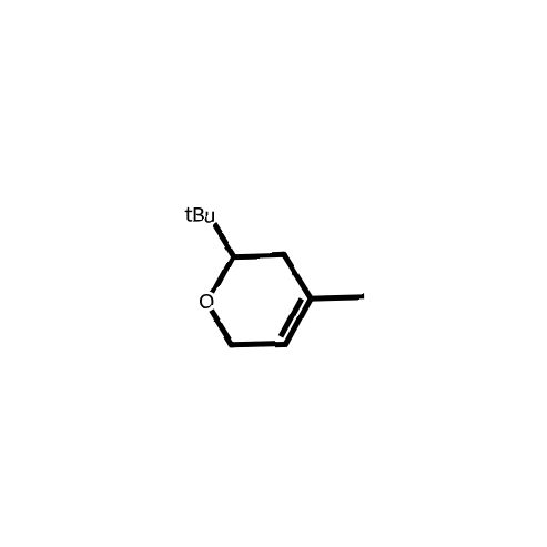 CC1=CCOC(C(C)(C)C)C1